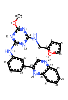 CCOc1nc(NCc2ccco2)nc(Nc2cccc(-c3cnc4ccccc4n3)c2)n1